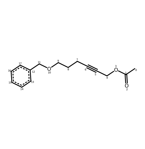 CC(=O)OCC#CCCCOCc1ccccc1